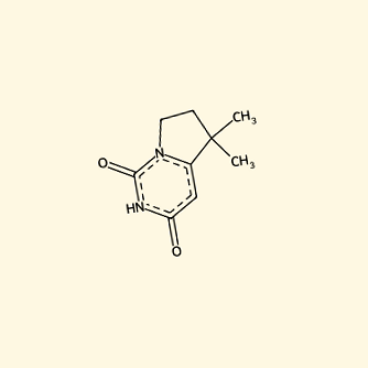 CC1(C)CCn2c1cc(=O)[nH]c2=O